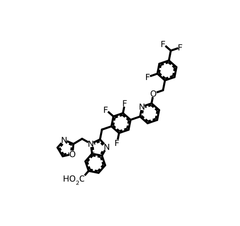 O=C(O)c1ccc2nc(Cc3c(F)cc(-c4cccc(OCc5ccc(C(F)F)cc5F)n4)c(F)c3F)n(Cc3ncco3)c2c1